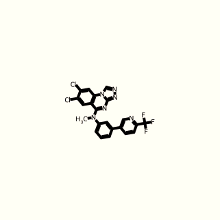 CN(c1cccc(-c2ccc(C(F)(F)F)nc2)c1)c1nc2nncn2c2cc(Cl)c(Cl)cc12